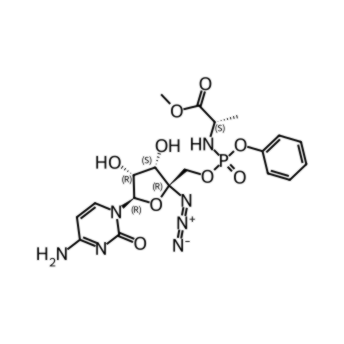 COC(=O)[C@H](C)NP(=O)(OC[C@@]1(N=[N+]=[N-])O[C@@H](n2ccc(N)nc2=O)[C@H](O)[C@@H]1O)Oc1ccccc1